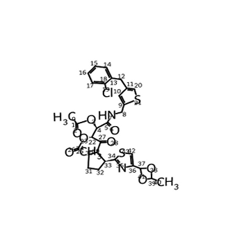 CC(=O)O[C@@H](C(=O)NCc1cc(Cc2ccccc2Cl)cs1)[C@@H](OC(C)=O)C(=O)C1CCC[C@@H]1c1nc(C2OC(C)O2)cs1